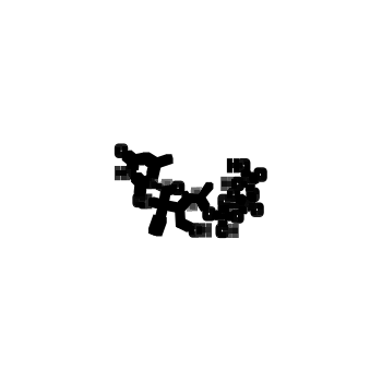 C#CC1(Cl)C(CO)[C@@H]([C@@H](C)OP(=O)(O)OP(=O)(O)OP(=O)(O)O)O[C@H]1n1c(C)cc(=O)[nH]c1=O